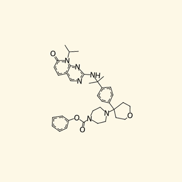 CC(C)n1c(=O)ccc2cnc(NC(C)(C)c3ccc(C4(N5CCN(C(=O)Oc6ccccc6)CC5)CCOCC4)cc3)nc21